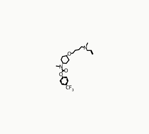 C=CCN(C)CCCCO[C@H]1CC[C@H](N(C)C(=O)Oc2ccc(C(F)(F)F)cc2)CC1